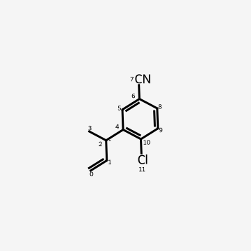 C=C[C](C)c1cc(C#N)ccc1Cl